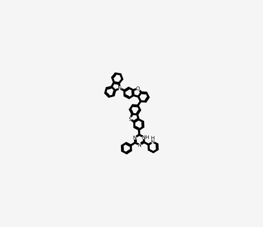 C1=CC(c2ccc3sc4cc(C5N=C(c6ccccc6)N=C(C6CCC=CN6)N5)ccc4c3c2)C2C(=C1)Oc1cc(-n3c4c(c5ccccc53)C=CCC4)ccc12